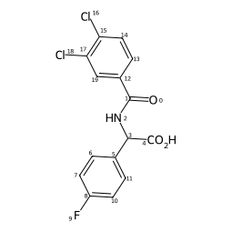 O=C(NC(C(=O)O)c1ccc(F)cc1)c1ccc(Cl)c(Cl)c1